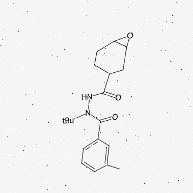 Cc1cccc(C(=O)N(NC(=O)C2CCC3OC3C2)C(C)(C)C)c1